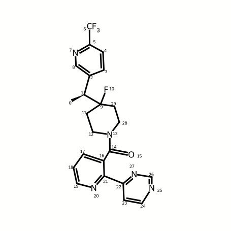 C[C@@H](c1ccc(C(F)(F)F)nc1)C1(F)CCN(C(=O)c2cccnc2-c2ccncn2)CC1